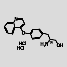 Cl.Cl.N[C@H](CO)Cc1ccc(Oc2ccnc3ccccc23)cc1